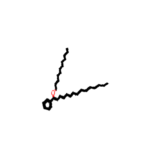 CCCCCCCCCCCCCCC(OCCCCCCCCCCCC)c1ccccc1